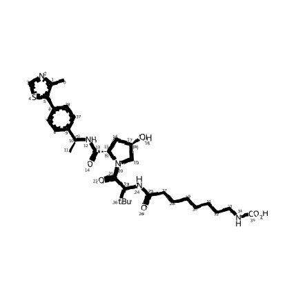 Cc1ncsc1-c1ccc([C@H](C)NC(=O)[C@@H]2C[C@@H](O)CN2C(=O)C(NC(=O)CCCCCCCNC(=O)O)C(C)(C)C)cc1